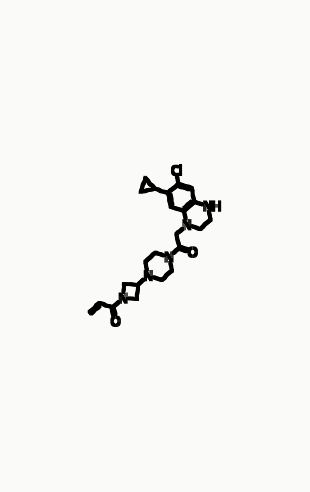 C=CC(=O)N1CC(N2CCN(C(=O)CN3CCNc4cc(Cl)c(C5CC5)cc43)CC2)C1